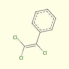 ClC(Cl)=C(Cl)c1ccccc1